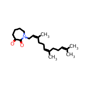 CC(C)=CCCC(C)=CCCC(C)=CCN1CCCCC(=O)C1=O